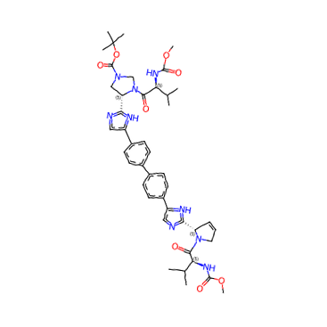 COC(=O)N[C@H](C(=O)N1CC=C[C@H]1c1ncc(-c2ccc(-c3ccc(-c4cnc([C@@H]5CN(C(=O)OC(C)(C)C)CN5C(=O)[C@@H](NC(=O)OC)C(C)C)[nH]4)cc3)cc2)[nH]1)C(C)C